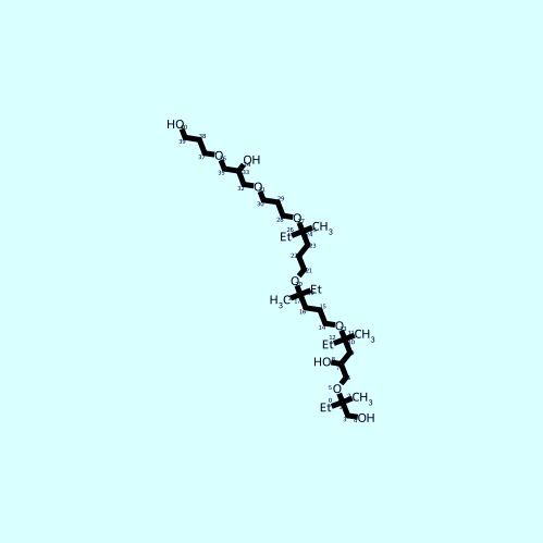 CCC(C)(CO)OCC(O)CC(C)(CC)OCCCC(C)(CC)OCCCC(C)(CC)OCCCOCC(O)COCCCO